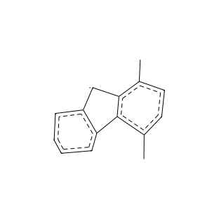 Cc1ccc(C)c2c1[CH]c1ccccc1-2